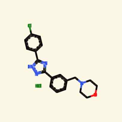 Cl.Clc1ccc(-c2nc(-c3cccc(CN4CCOCC4)c3)n[nH]2)cc1